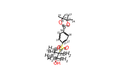 BC(B)(B)C(B)(C(B)(B)O)S(=O)(=O)c1ccc(B2OC(C)(C)C(C)(C)O2)cc1